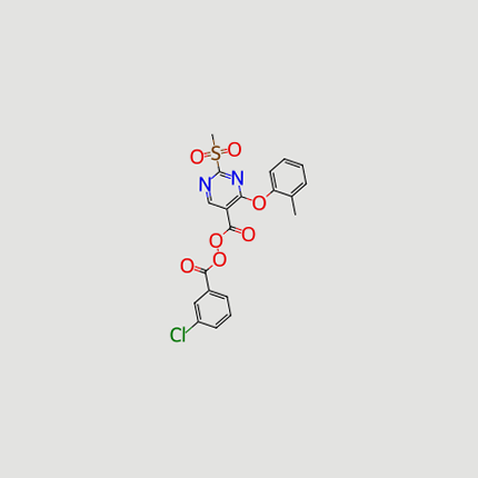 Cc1ccccc1Oc1nc(S(C)(=O)=O)ncc1C(=O)OOC(=O)c1cccc(Cl)c1